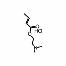 CC=CC(=O)OCCN(C)C.Cl